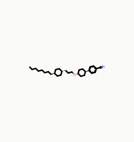 CCCCCCCC[C@H]1CC[C@H](CCCO[C@H]2CC[C@H](c3ccc(C#N)cc3)CC2)CC1